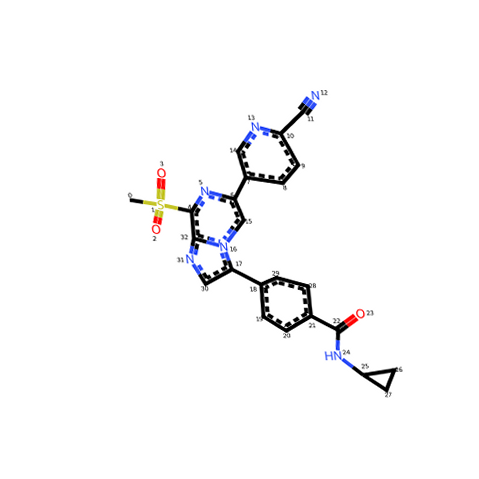 CS(=O)(=O)c1nc(-c2ccc(C#N)nc2)cn2c(-c3ccc(C(=O)NC4CC4)cc3)cnc12